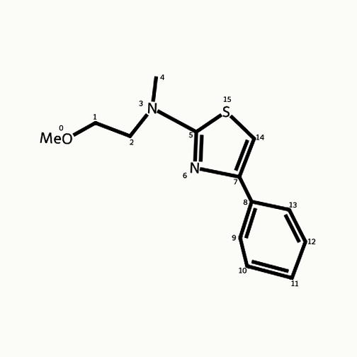 COCCN(C)c1nc(-c2ccccc2)cs1